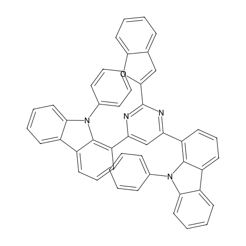 c1ccc(-n2c3ccccc3c3cccc(-c4cc(-c5cccc6c7ccccc7n(-c7ccccc7)c56)nc(-c5cc6ccccc6o5)n4)c32)cc1